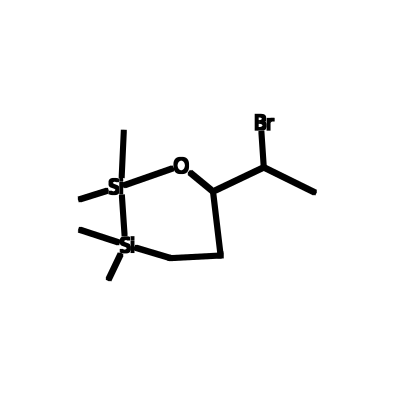 CC(Br)C1CC[Si](C)(C)[Si](C)(C)O1